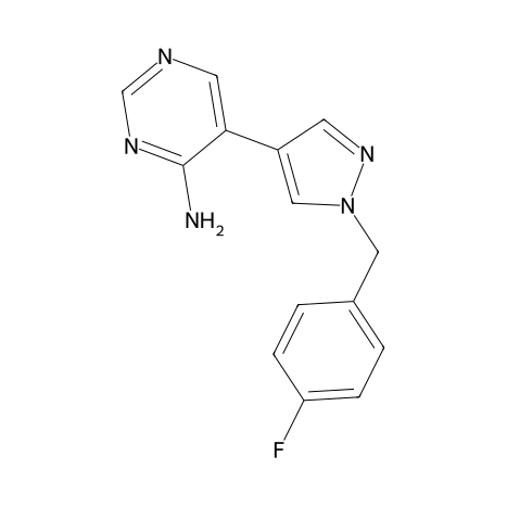 Nc1ncncc1-c1cnn(Cc2ccc(F)cc2)c1